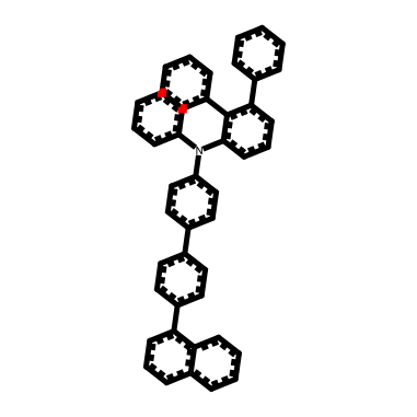 c1ccc(-c2cccc(N(c3ccccc3)c3ccc(-c4ccc(-c5cccc6ccccc56)cc4)cc3)c2-c2ccccc2)cc1